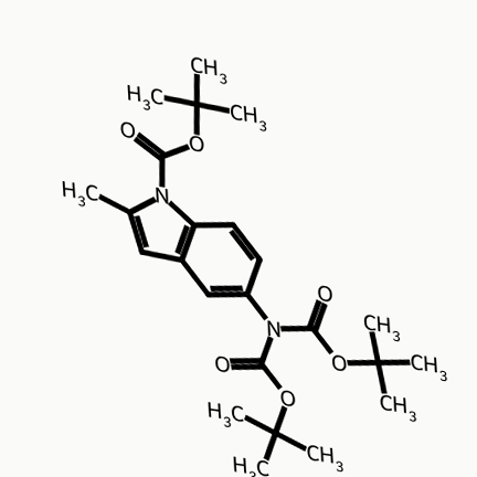 Cc1cc2cc(N(C(=O)OC(C)(C)C)C(=O)OC(C)(C)C)ccc2n1C(=O)OC(C)(C)C